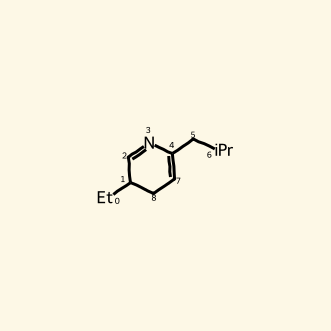 CCC1C=NC(CC(C)C)=CC1